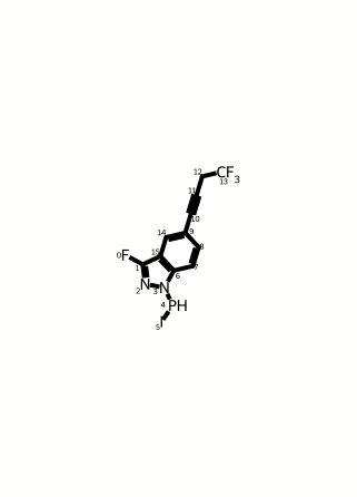 Fc1nn(PI)c2ccc(C#CCC(F)(F)F)cc12